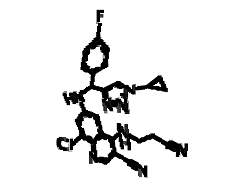 N#CCCNc1c(C#N)cnc2c(Cl)cc(NC(c3ccc(F)cc3)c3cn(C4CC4)nn3)cc12